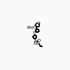 C=CCNC(=O)N(C)c1ccc(Sc2cccc(C3(OC)CCOCC3)c2)cc1